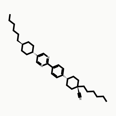 CCCCCC[C@H]1CC[C@H](c2cnc(-c3ccc([C@H]4CC[C@@](C#N)(CCCCCC)CC4)cc3)nc2)CC1